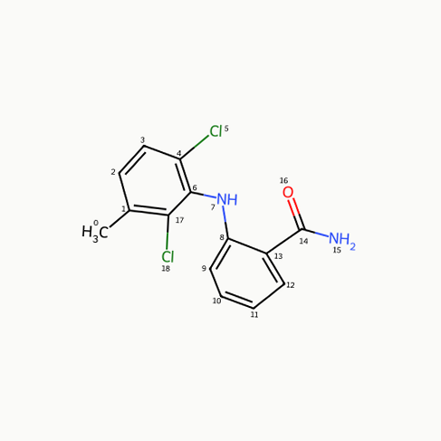 Cc1ccc(Cl)c(Nc2ccccc2C(N)=O)c1Cl